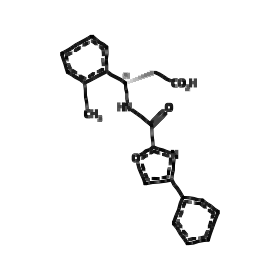 Cc1ccccc1[C@H](CC(=O)O)NC(=O)c1nc(-c2ccccc2)co1